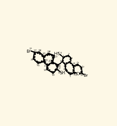 Sc1ccc2c(ccc3cc(Br)ccc32)c1-c1c(S)ccc2c1ccc1cc(Br)ccc12